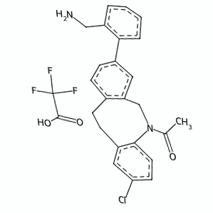 CC(=O)N1Cc2cc(-c3ccccc3CN)ccc2CCc2cc(Cl)ccc21.O=C(O)C(F)(F)F